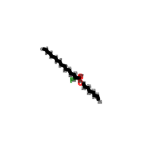 CCCCCCCCCCCCCC=C(F)C(=O)OCCCCCCCC